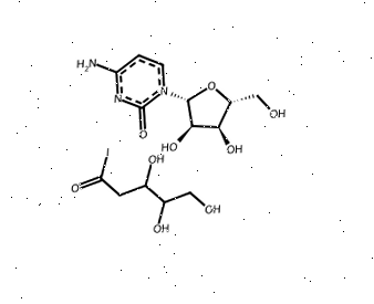 Nc1ccn([C@@H]2O[C@H](CO)[C@@H](O)[C@H]2O)c(=O)n1.O=C(I)CC(O)C(O)CO